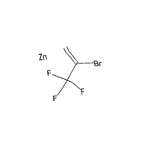 C=C(Br)C(F)(F)F.[Zn]